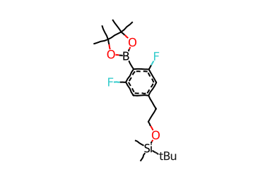 CC1(C)OB(c2c(F)cc(CCO[Si](C)(C)C(C)(C)C)cc2F)OC1(C)C